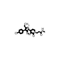 CCc1nn2c(nnc3c(=O)n(CCC(=O)NI)ccc32)c1-c1ccc(Cl)cc1